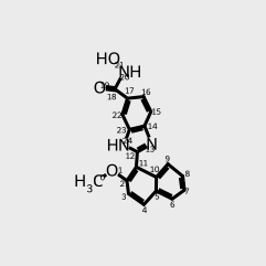 COc1ccc2ccccc2c1-c1nc2ccc(C(=O)NO)cc2[nH]1